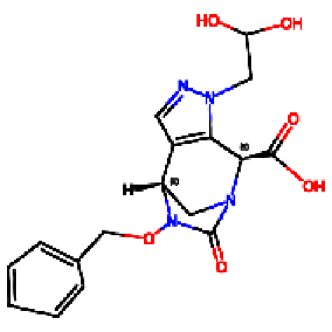 O=C(O)[C@@H]1c2c(cnn2CC(O)O)[C@@H]2CN1C(=O)N2OCc1ccccc1